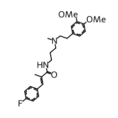 COc1ccc(CCN(C)CCCNC(=O)/C(C)=C/c2ccc(F)cc2)cc1OC